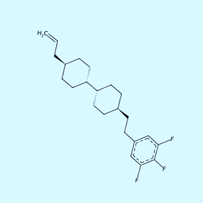 C=CC[C@H]1CC[C@H]([C@H]2CC[C@H](CCc3cc(F)c(F)c(F)c3)CC2)CC1